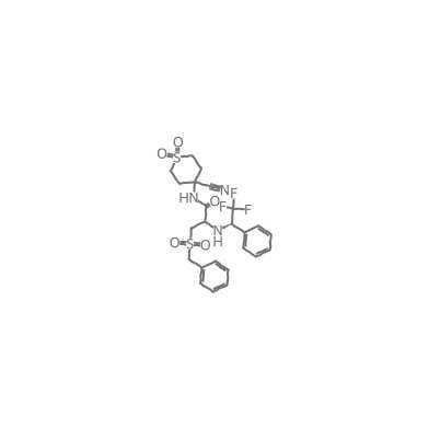 N#CC1(NC(=O)C(CS(=O)(=O)Cc2ccccc2)N[C@H](c2ccccc2)C(F)(F)F)CCS(=O)(=O)CC1